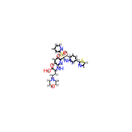 NC(Cc1ccc(-c2nccs2)cc1)(c1cccc(NC(CCN2CCOCC2)C(=O)O)n1)S(=O)(=O)c1ccccn1